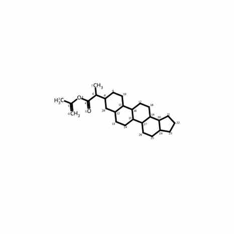 C=C(C)OC(=O)C(C)C1CCC2C(CCC3C2CCC2C4CCCC4CCC23)C1